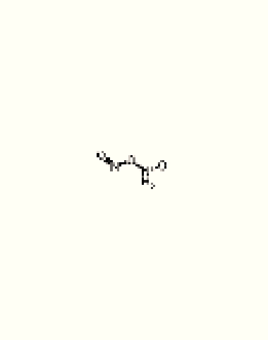 O=NO[NH2+][O-]